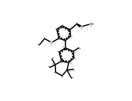 CCOc1ccc(C=NO)cc1-c1cc2c(cc1C)C(C)(C)CCC2(C)C